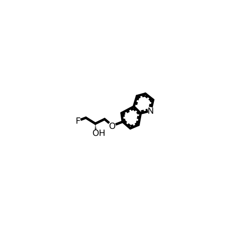 O[C@H](CF)COc1ccc2ncccc2c1